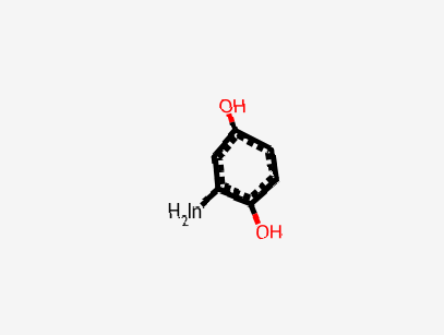 Oc1ccc(O)[c]([InH2])c1